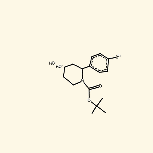 [B+2]c1ccc(C2CCCCN2C(=O)OC(C)(C)C)cc1.[OH-].[OH-]